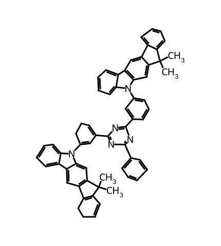 CC1(C)C2=C(CCC=C2)c2cc3c4ccccc4n(C4=CC(c5nc(-c6ccccc6)nc(-c6cccc(-n7c8ccccc8c8cc9c(cc87)C(C)(C)c7ccccc7-9)c6)n5)=CCC4)c3cc21